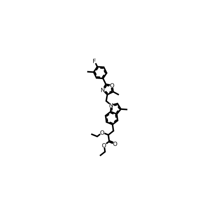 CCOC(=O)C(Cc1ccc2c(c1)c(C)cn2Cc1nc(-c2ccc(F)c(C)c2)oc1C)OCC